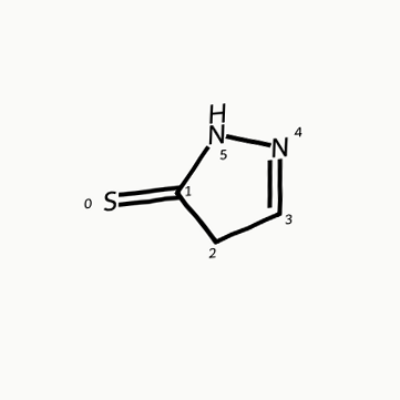 S=C1CC=NN1